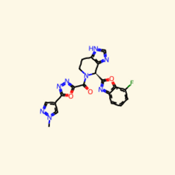 Cn1cc(-c2nnc(C(=O)N3CCc4[nH]cnc4[C@H]3c3nc4cccc(F)c4o3)o2)cn1